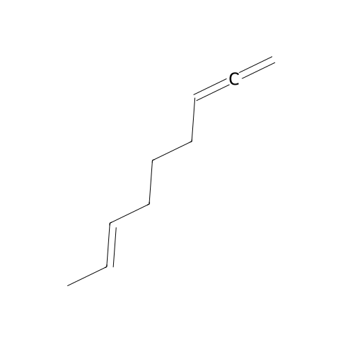 C=C=CCCCC=CC